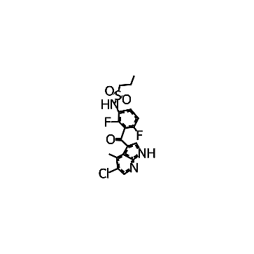 CCCS(=O)(=O)Nc1ccc(F)c(C(=O)c2c[nH]c3ncc(Cl)c(C)c23)c1F